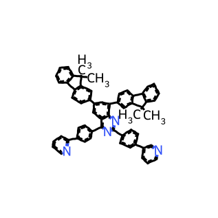 CC1(C)c2ccccc2-c2ccc(-c3cc(-c4ccc5c(c4)C(C)(C)c4ccccc4-5)c4nc(-c5ccc(-c6cccnc6)cc5)nc(-c5ccc(-c6ccccn6)cc5)c4c3)cc21